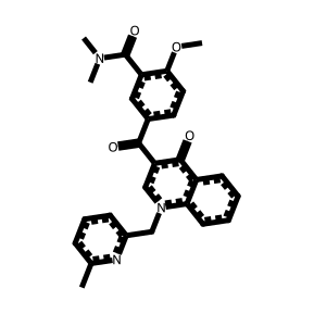 COc1ccc(C(=O)c2cn(Cc3cccc(C)n3)c3ccccc3c2=O)cc1C(=O)N(C)C